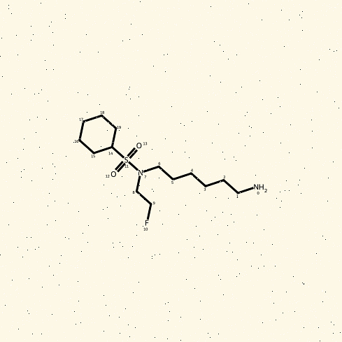 NCCCCCCN(CCF)S(=O)(=O)C1CCCCC1